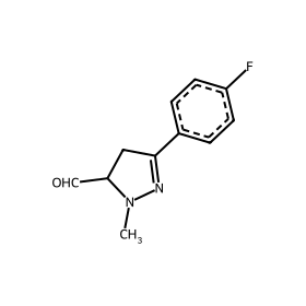 CN1N=C(c2ccc(F)cc2)CC1C=O